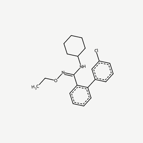 CCON=C(NC1CCCCC1)c1ccccc1-c1cccc(Cl)c1